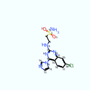 NS(=O)(=O)CCNc1nc(-n2ccnc2)c2ccc(Cl)cc2n1